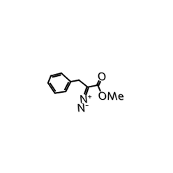 COC(=O)C(Cc1ccccc1)=[N+]=[N-]